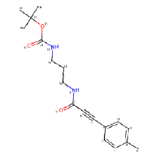 Cc1ccc(C#CC(=O)NCCCNC(=O)OC(C)(C)C)cc1